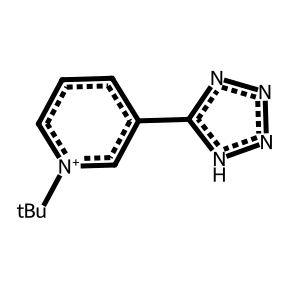 CC(C)(C)[n+]1cccc(-c2nnn[nH]2)c1